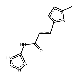 Cc1ccc(C=CC(=O)Nc2nnn[nH]2)s1